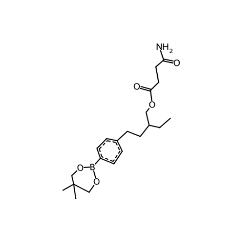 CCC(CCc1ccc(B2OCC(C)(C)CO2)cc1)COC(=O)CCC(N)=O